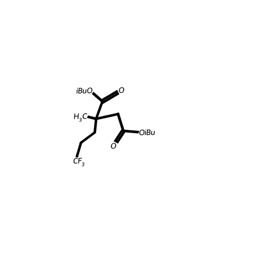 CC(C)COC(=O)CC(C)(CCC(F)(F)F)C(=O)OCC(C)C